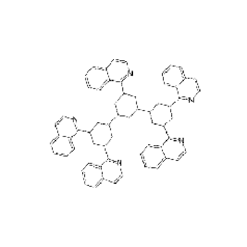 c1ccc2c(C3CC(c4nccc5ccccc45)CC(C4CC(c5nccc6ccccc56)CC(C5CC(c6nccc7ccccc67)CC(c6nccc7ccccc67)C5)C4)C3)nccc2c1